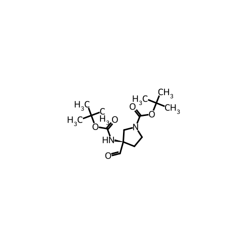 CC(C)(C)OC(=O)N[C@]1(C=O)CCN(C(=O)OC(C)(C)C)C1